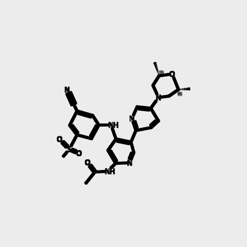 CC(=O)Nc1cc(Nc2cc(C#N)cc(S(C)(=O)=O)c2)c(-c2ccc(N3C[C@@H](C)O[C@@H](C)C3)cn2)cn1